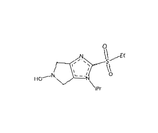 CCS(=O)(=O)c1nc2c(n1C(C)C)CN(O)C2